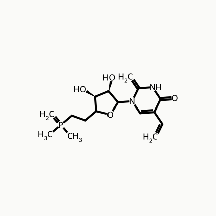 C=CC1=CN(C2OC(CCP(=C)(C)C)[C@@H](O)[C@H]2O)C(=C)NC1=O